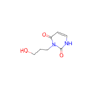 O=c1cc[nH]c(=O)n1CCCO